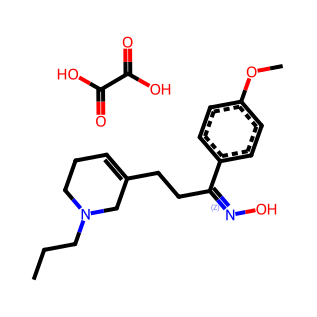 CCCN1CCC=C(CC/C(=N/O)c2ccc(OC)cc2)C1.O=C(O)C(=O)O